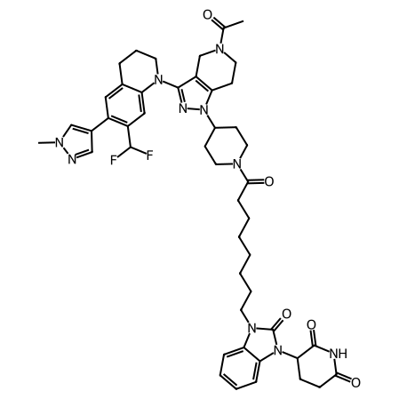 CC(=O)N1CCc2c(c(N3CCCc4cc(-c5cnn(C)c5)c(C(F)F)cc43)nn2C2CCN(C(=O)CCCCCCCn3c(=O)n(C4CCC(=O)NC4=O)c4ccccc43)CC2)C1